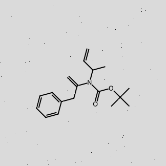 C=CC(C)N(C(=C)Cc1ccccc1)C(=O)OC(C)(C)C